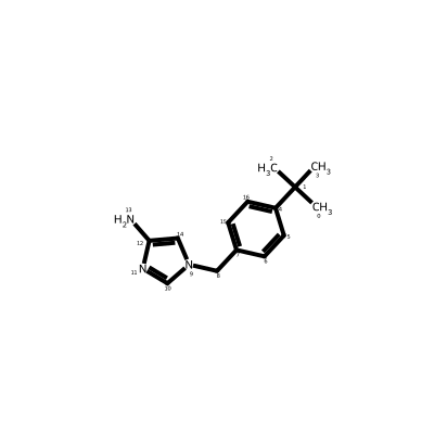 CC(C)(C)c1ccc(Cn2cnc(N)c2)cc1